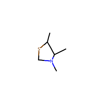 CC1SCN(C)C1C